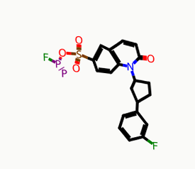 O=c1ccc2cc(S(=O)(=O)OP(F)#P)ccc2n1C1CCC(c2cccc(F)c2)C1